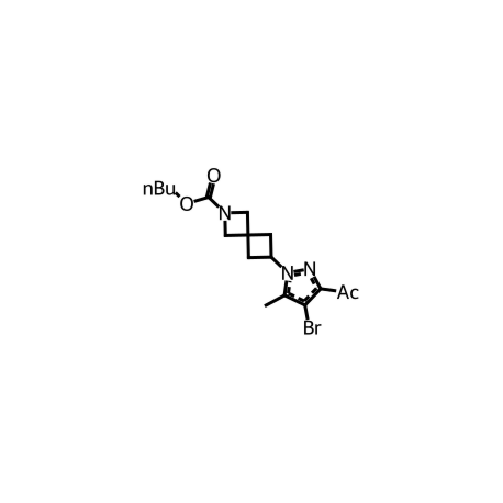 CCCCOC(=O)N1CC2(CC(n3nc(C(C)=O)c(Br)c3C)C2)C1